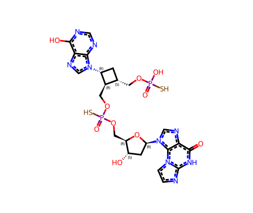 O=c1[nH]c2nccn2c2c1ncn2[C@H]1C[C@H](O)[C@@H](COP(=O)(S)OC[C@@H]2[C@@H](COP(=O)(O)S)C[C@H]2n2cnc3c(O)ncnc32)O1